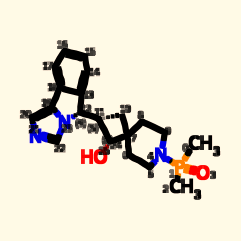 CP(C)(=O)N1CCC2(CC1)C[C@@H]([C@H]1c3ccccc3-c3cncn31)[C@H]2O